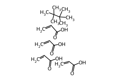 C=CC(=O)O.C=CC(=O)O.C=CC(=O)O.C=CC(=O)O.CC(C)(C)C(C)(C)C